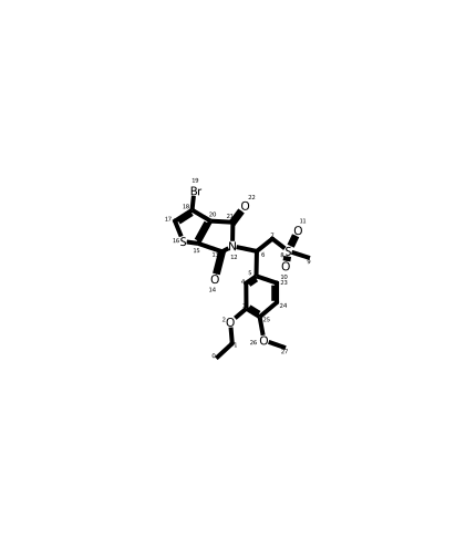 CCOc1cc(C(CS(C)(=O)=O)N2C(=O)c3scc(Br)c3C2=O)ccc1OC